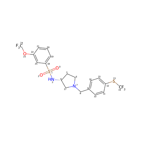 O=S(=O)(N[C@@H]1CCN(Cc2ccc(SC(F)(F)F)cc2)C1)c1cccc(OC(F)(F)F)c1